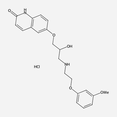 COc1cccc(OCCNCC(O)COc2ccc3[nH]c(=O)ccc3c2)c1.Cl